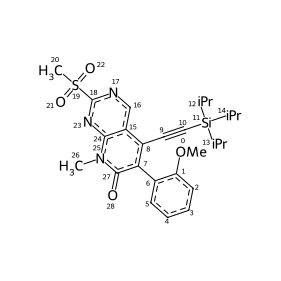 COc1ccccc1-c1c(C#C[Si](C(C)C)(C(C)C)C(C)C)c2cnc(S(C)(=O)=O)nc2n(C)c1=O